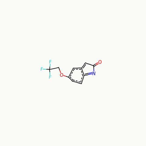 O=C1C=c2cc(OCC(F)(F)F)ccc2=N1